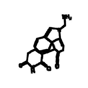 NCN1C=C2C=CC=CC23C1=CCC(=O)C3C1CCC(=O)NC1=O